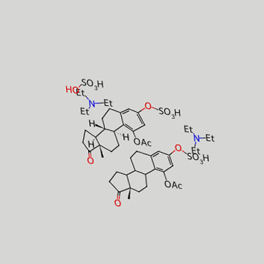 CC(=O)Oc1cc(OS(=O)(=O)O)cc2c1C1CC[C@]3(C)C(=O)CCC3C1CC2.CC(=O)Oc1cc(OS(=O)(=O)O)cc2c1[C@H]1CC[C@]3(C)C(=O)CC[C@H]3[C@@H]1CC2.CCN(CC)CC.CCN(CC)CC.O=S(=O)(O)O